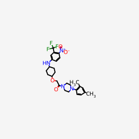 Cc1ccc(N2CCN(C(=O)COC3CCC(Nc4ccc([N+](=O)[O-])c(C(F)(F)F)c4)CC3)CC2)c(C)c1